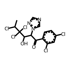 CC(Cl)C(Cl)(Cl)C(O)C(C(=O)c1ccc(Cl)cc1Cl)n1cncn1